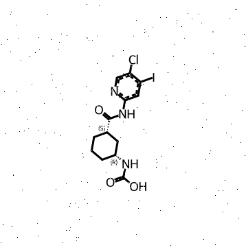 O=C(O)N[C@@H]1CCC[C@H](C(=O)Nc2cc(I)c(Cl)cn2)C1